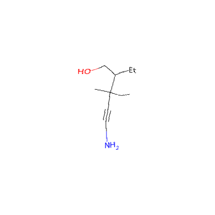 CCC(CO)C(C)(C)C#CN